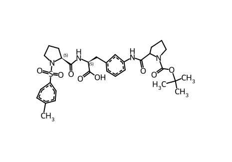 Cc1ccc(S(=O)(=O)N2CCC[C@H]2C(=O)N[C@@H](Cc2cccc(NC(=O)C3CCCN3C(=O)OC(C)(C)C)c2)C(=O)O)cc1